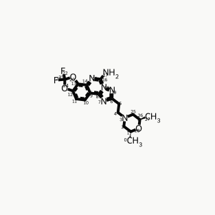 C[C@@H]1CN(CCc2nc3c4ccc5c(c4nc(N)n3n2)OC(F)(F)O5)C[C@@H](C)O1